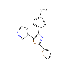 COc1ccc(-c2nc(-c3cccs3)sc2-c2cccnc2)cc1